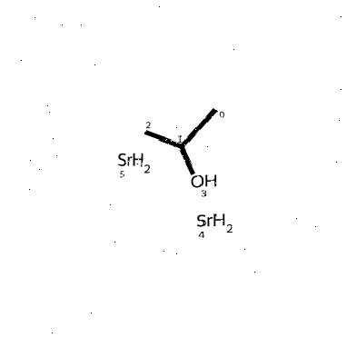 CC(C)O.[SrH2].[SrH2]